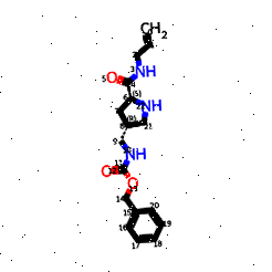 C=CCNC(=O)[C@@H]1C[C@@H](CNC(=O)OCc2ccccc2)CN1